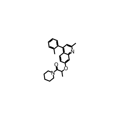 Cc1cc(-c2ccccc2C)c2ccc(OC(C)C(=O)N3CCCCC3)cc2n1